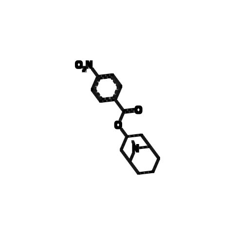 CN1C2CCCC1CC(OC(=O)c1ccc([N+](=O)[O-])cc1)C2